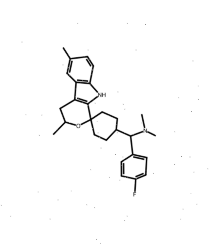 Cc1ccc2[nH]c3c(c2c1)CC(C)OC31CCC(C(c2ccc(F)cc2)N(C)C)CC1